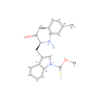 CCOC(=S)n1cc(C[C@@H](C(=O)OC)N(C)c2cccc(C(F)(F)F)c2)c2ccccc21